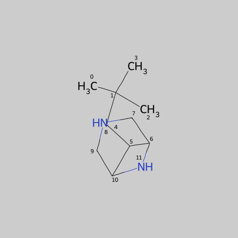 CC(C)(C)CC1C2CNCC1N2